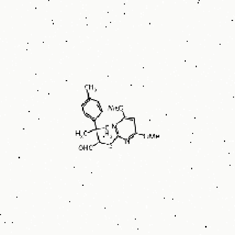 COc1cc(OC)nc(SC(C=O)C(C)(C)c2ccc(C)cc2)n1